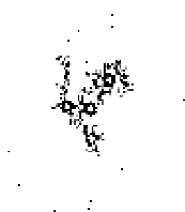 C=CCN(CC=C)C(=O)C(Cl)Cl.CCCCCOC(=O)COc1cc(N2C(=O)C3=C(CCCC3)C2=O)c(F)cc1Cl.CCc1cccc(C)c1N(C(=O)CCl)C(C)COC.O=C(O)CNCP(=O)(O)O